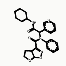 O=C(NC1CCCCC1)C(c1cccnc1)N(C(=O)C1=NOC2OCCC12)c1ccccc1